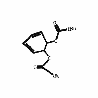 CC(C)(C)C(=O)OC1C=CC=CC1OC(=O)C(C)(C)C